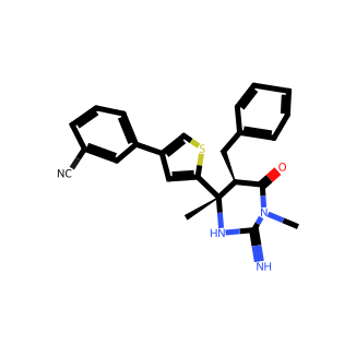 CN1C(=N)N[C@](C)(c2cc(-c3cccc(C#N)c3)cs2)[C@@H](Cc2ccccc2)C1=O